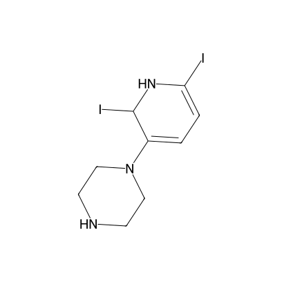 IC1=CC=C(N2CCNCC2)C(I)N1